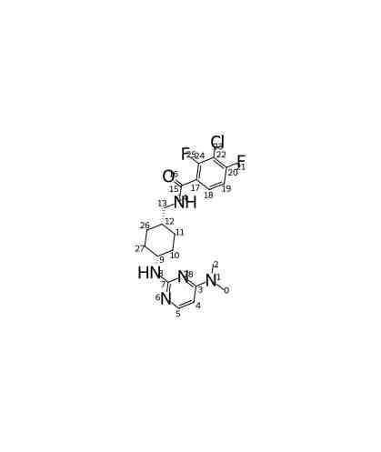 CN(C)c1ccnc(N[C@H]2CC[C@@H](CNC(=O)c3ccc(F)c(Cl)c3F)CC2)n1